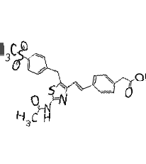 CC(=O)Nc1nc(C=Cc2ccc(CC(=O)O)cc2)c(Cc2ccc(S(C)(=O)=O)cc2)s1